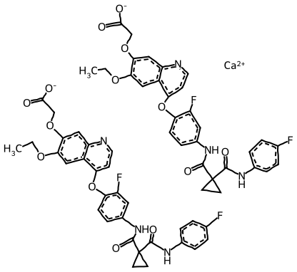 CCOc1cc2c(Oc3ccc(NC(=O)C4(C(=O)Nc5ccc(F)cc5)CC4)cc3F)ccnc2cc1OCC(=O)[O-].CCOc1cc2c(Oc3ccc(NC(=O)C4(C(=O)Nc5ccc(F)cc5)CC4)cc3F)ccnc2cc1OCC(=O)[O-].[Ca+2]